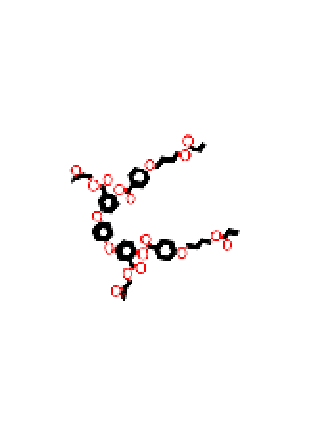 C=CC(=O)OCCCCOC1=CC=C(C(=O)Oc2ccc(Oc3ccc(Oc4ccc(OC(=O)C5=CCC(OCCCCOC(=O)C=C)C=C5)c(C(=O)OCC5CO5)c4)cc3)cc2C(=O)OCC2CO2)CC1